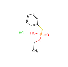 CCOP(=O)(O)Sc1ccccc1.Cl